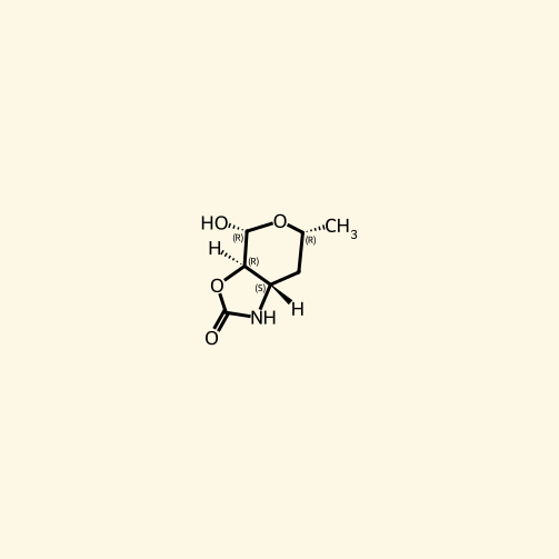 C[C@@H]1C[C@@H]2NC(=O)O[C@H]2[C@H](O)O1